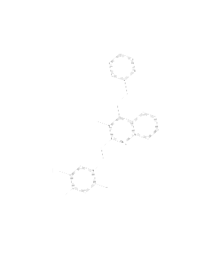 Cc1c(COc2cc(O)c(F)cc2F)nc2ccccc2c1OCc1ccccc1